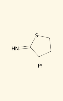 N=C1CCCS1.[P]